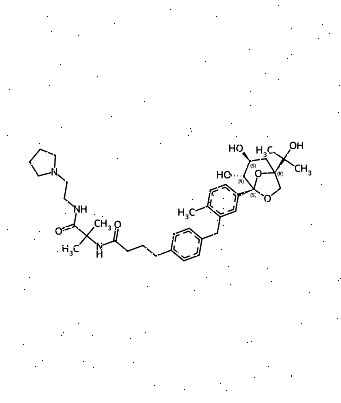 Cc1ccc([C@@]23OC[C@@](C(C)(C)O)(C[C@H](O)[C@H]2O)O3)cc1Cc1ccc(CCCC(=O)NC(C)(C)C(=O)NCCN2CCCC2)cc1